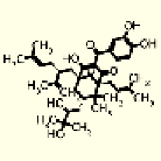 C=C(C)[C@H](CC=C(C)C)C[C@@]12C[C@@H](CC(O)C(C)(C)O)C(C)(C)[C@@](CC=C(C)C)(C(=O)C(C(=O)c3ccc(O)c(O)c3)=C1O)C2=O